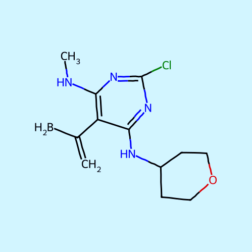 BC(=C)c1c(NC)nc(Cl)nc1NC1CCOCC1